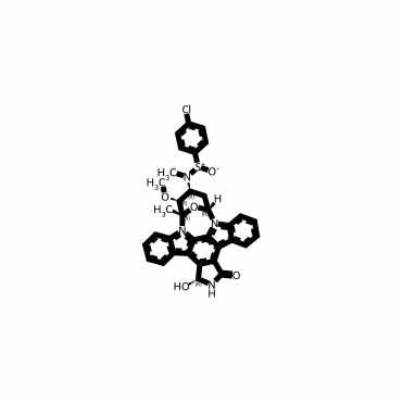 CO[C@@H]1[C@H](N(C)[S+]([O-])c2ccc(Cl)cc2)C[C@H]2O[C@]1(C)n1c3ccccc3c3c4c(c5c6ccccc6n2c5c31)C(=O)N[C@@H]4O